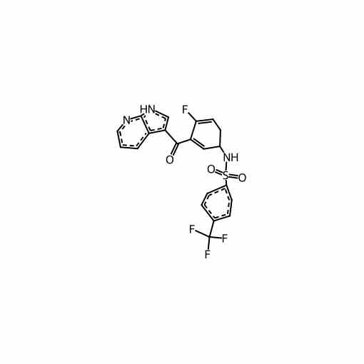 O=C(C1=CC(NS(=O)(=O)c2ccc(C(F)(F)F)cc2)CC=C1F)c1c[nH]c2ncccc12